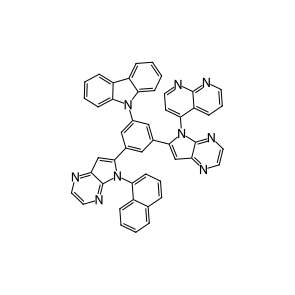 c1ccc2c(-n3c(-c4cc(-c5cc6nccnc6n5-c5ccnc6ncccc56)cc(-n5c6ccccc6c6ccccc65)c4)cc4nccnc43)cccc2c1